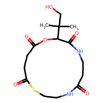 CC(C)(CO)C1OC(=O)CCC(=O)SCCNC(=O)CCNC1=O